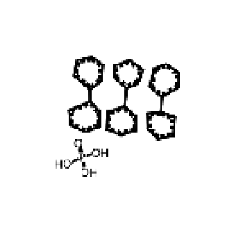 O=P(O)(O)O.c1ccc(-c2ccccc2)cc1.c1ccc(-c2ccccc2)cc1.c1ccc(-c2ccccc2)cc1